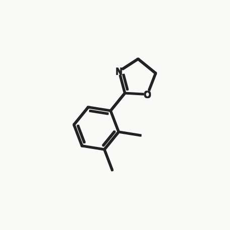 Cc1cccc(C2=NCCO2)c1C